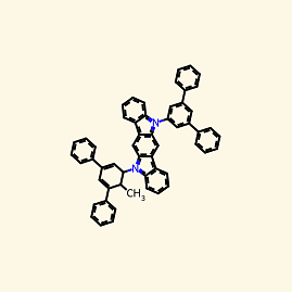 CC1C(c2ccccc2)=CC(c2ccccc2)=CC1n1c2ccccc2c2cc3c(cc21)c1ccccc1n3-c1cc(-c2ccccc2)cc(-c2ccccc2)c1